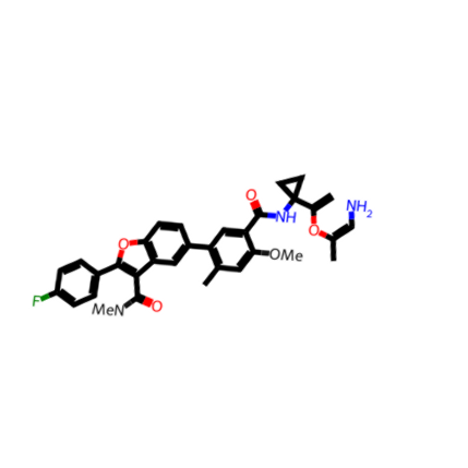 C=C(O/C(C)=C\N)C1(NC(=O)c2cc(-c3ccc4oc(-c5ccc(F)cc5)c(C(=O)NC)c4c3)c(C)cc2OC)CC1